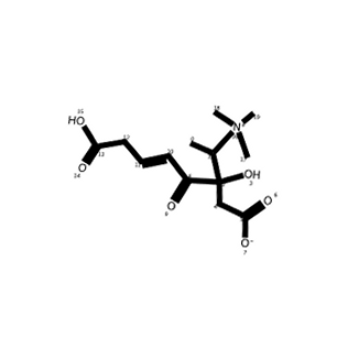 CC(C(O)(CC(=O)[O-])C(=O)C=CCC(=O)O)[N+](C)(C)C